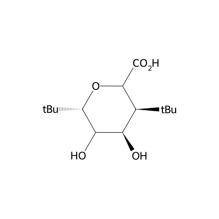 CC(C)(C)[C@@H]1OC(C(=O)O)[C@@H](C(C)(C)C)[C@@H](O)C1O